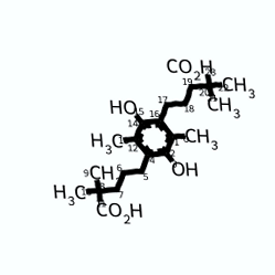 Cc1c(O)c(CCCC(C)(C)C(=O)O)c(C)c(O)c1CCCC(C)(C)C(=O)O